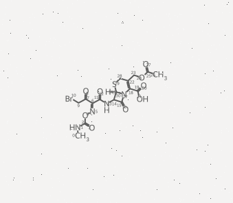 CNC(=O)ON=C(C(=O)CBr)C(=O)NC1C(=O)N2C(C(=O)O)=C(COC(C)=O)CS[C@@H]12